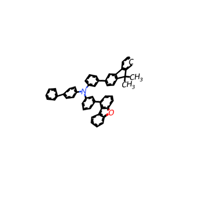 CC1(C)c2ccccc2-c2cc(-c3cccc(N(c4ccc(-c5ccccc5)cc4)c4cccc(-c5cccc6oc7ccccc7c56)c4)c3)ccc21